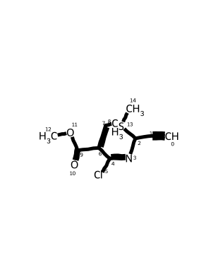 C#CC(/N=C(Cl)\C(=C/C)C(=O)OC)SC